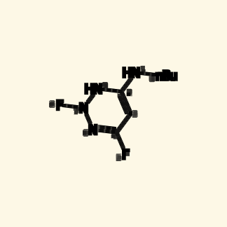 CCCCNC1=CC(F)=NN(F)N1